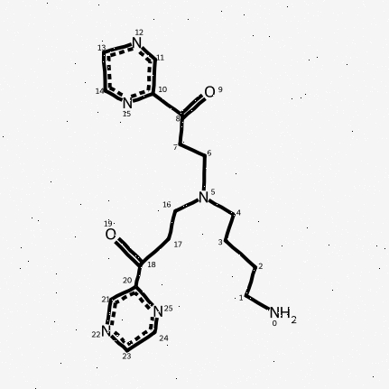 NCCCCN(CCC(=O)c1cnccn1)CCC(=O)c1cnccn1